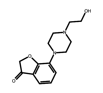 O=C1COc2c1cccc2N1CCN(CCO)CC1